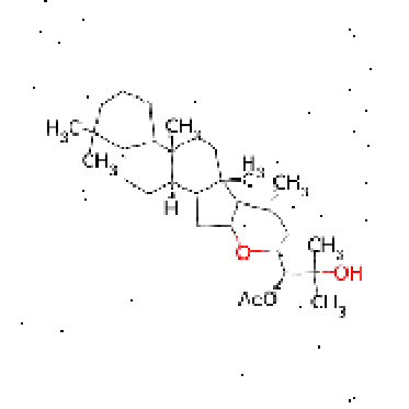 CC(=O)O[C@@H]([C@H]1C[C@@H](C)C2C(CC3[C@@H]4CCC5C(CCCC5(C)C)[C@]4(C)CC[C@]23C)O1)C(C)(C)O